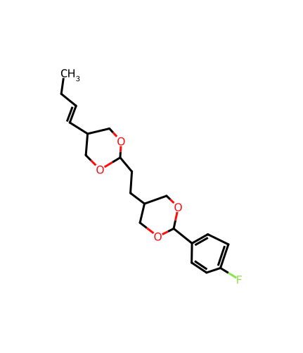 CC/C=C/C1COC(CCC2COC(c3ccc(F)cc3)OC2)OC1